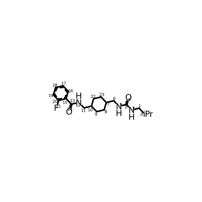 CC(C)CNC(=O)NCC1CCC(CNC(=O)c2ccccc2F)CC1